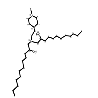 CCCCCCCCCCC(O)CN(CCN1CCN(C)CC1)CC(O)CCCCCCCCCC